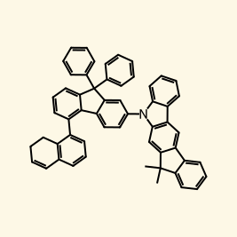 CC1(C)c2ccccc2-c2cc3c4ccccc4n(-c4ccc5c(c4)C(c4ccccc4)(c4ccccc4)c4cccc(-c6cccc7c6CCC=C7)c4-5)c3cc21